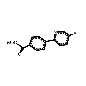 COC(=O)c1ccc(-c2ccc(C(C)=O)cn2)cc1